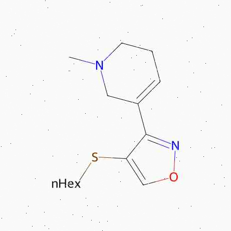 CCCCCCSc1conc1C1=CCCN(C)C1